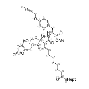 CC#CCOc1ccc(C[C@H](NC(=O)[C@@H](/C=C/CCCCCCC(=O)CCCCCCC)[C@@](O)(CC(=O)O)C(=O)OCc2oc(=O)oc2C)C(=O)OC)cc1